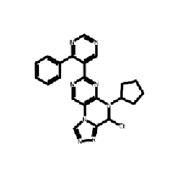 CCC1c2nncn2-c2cnc(-c3cncnc3-c3ccccc3)nc2N1C1CCCC1